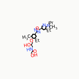 CCc1cc(-c2nc(-c3cc(C)c(OCC(O)CNC(=O)CO)c(CC)c3)no2)cnc1N(C)C(C)C